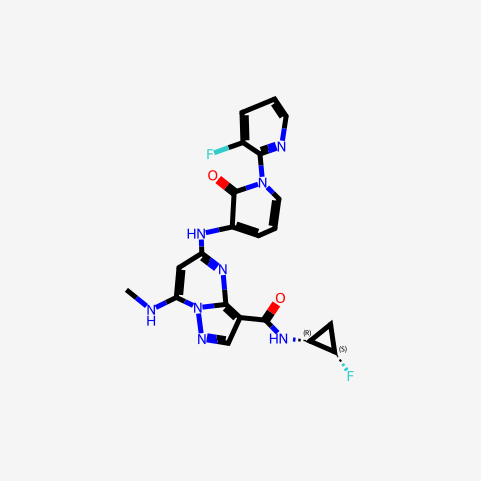 CNc1cc(Nc2cccn(-c3ncccc3F)c2=O)nc2c(C(=O)N[C@@H]3C[C@@H]3F)cnn12